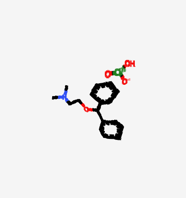 CN(C)CCOC(c1ccccc1)c1ccccc1.[O-][Cl+2]([O-])O